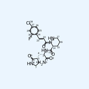 NC(=O)[C@H](C[C@@H]1CCNC1=O)NC(=O)[C@@H]1CCCNN1C(=O)/C=C/c1ccc(Cl)cc1F